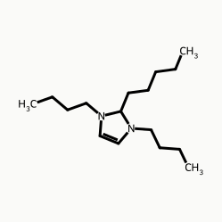 CCCCCC1N(CCCC)C=CN1CCCC